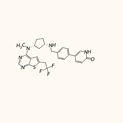 CN(c1ncnc2sc(CC(F)(F)F)cc12)[C@@H]1CC[C@H](NCc2ccc(-c3ccc(=O)[nH]c3)cc2)C1